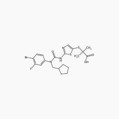 CC(C)(Sc1cnc(NC(=O)N(CC2CCCC2)c2ccc(Br)c(F)c2)s1)C(=O)O